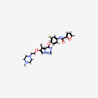 Cc1c(OCCN2CCN(C)CC2)cn2ncnc(Oc3ccc(NC(=O)c4ccco4)cc3F)c12